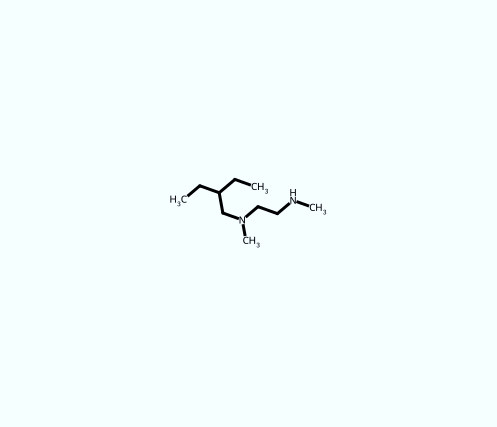 CCC(CC)CN(C)CCNC